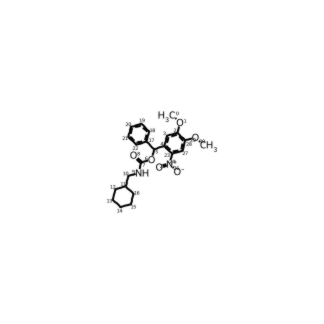 COc1cc(C(OC(=O)NCC2CCCCC2)c2ccccc2)c([N+](=O)[O-])cc1OC